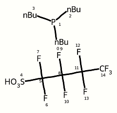 CCCCP(CCCC)CCCC.O=S(=O)(O)C(F)(F)C(F)(F)C(F)(F)C(F)(F)F